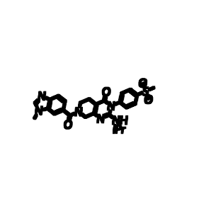 CC(C)Nc1nc2c(c(=O)n1-c1ccc(S(C)(=O)=O)cc1)CCN(C(=O)c1ccc3ncn(C)c3c1)C2